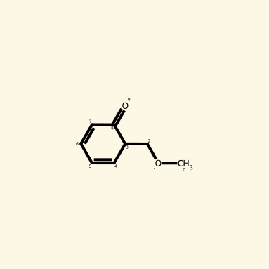 COCC1C=CC=CC1=O